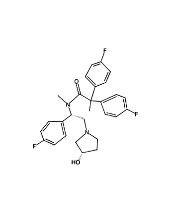 CN(C(=O)C(C)(c1ccc(F)cc1)c1ccc(F)cc1)[C@H](CN1CC[C@H](O)C1)c1ccc(F)cc1